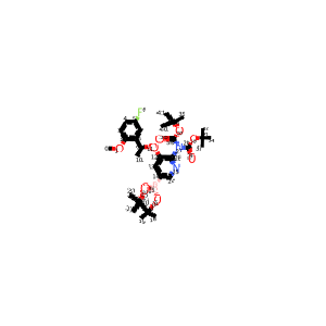 COc1ccc(F)cc1C(C)Oc1cc(B2OC(C)(C)C(C)(C)O2)cnc1N(C(=O)OC(C)(C)C)C(=O)OC(C)(C)C